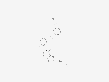 CNCC#Cc1ccc2ncn(-c3cc(NC(=O)c4cccc(C(C)(C)C#N)c4)ccc3C)c(=O)c2c1